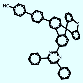 N#Cc1ccc(-c2ccc(-c3ccc4c(c3)-c3cc(-c5nc(-c6ccccc6)cc(-c6ccccc6)n5)ccc3C43c4ccccc4Sc4ccccc43)cc2)cc1